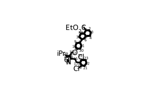 CCOC(=O)c1cccc2cc(-c3ccc(OCc4c(CCc5c(Cl)cccc5Cl)noc4C(C)C)cc3)ccc12